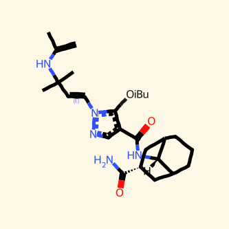 C=C(C)NC(C)(C)/C=C/n1ncc(C(=O)N[C@H]2C3CCCC2C[C@@H](C(N)=O)C3)c1OCC(C)C